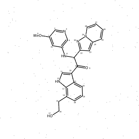 COc1cncc(NC(C(=O)c2c[nH]c3c(CCO)cccc23)c2cc3ccccn3n2)c1